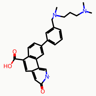 CN(C)CCCN(C)Cc1cccc(-c2ccc3c(C(=O)O)cc4c(c3c2)=C[N]C(=O)C=4)c1